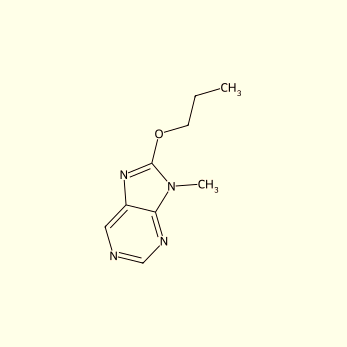 CCCOc1nc2cncnc2n1C